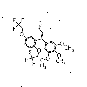 COc1cc(C(=CC=O)c2cc(OCC(F)(F)F)ccc2OCC(F)(F)F)cc(OC)c1OC